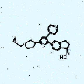 O/N=C1/CCc2cc(-c3oc(C4CCN(CC5CC5)CC4)cc3-c3ccncc3)ccc21